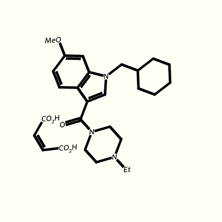 CCN1CCN(C(=O)c2cn(CC3CCCCC3)c3cc(OC)ccc23)CC1.O=C(O)/C=C\C(=O)O